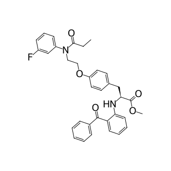 CCC(=O)N(CCOc1ccc(C[C@H](Nc2ccccc2C(=O)c2ccccc2)C(=O)OC)cc1)c1cccc(F)c1